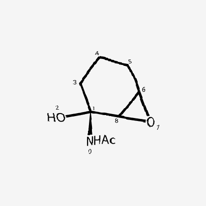 CC(=O)N[C@@]1(O)CCCC2OC21